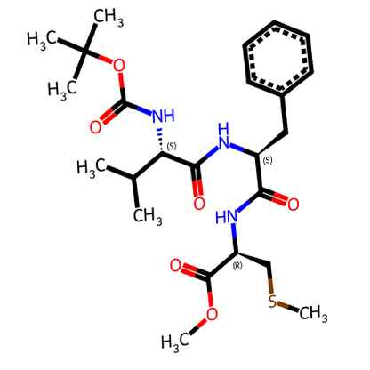 COC(=O)[C@H](CSC)NC(=O)[C@H](Cc1ccccc1)NC(=O)[C@@H](NC(=O)OC(C)(C)C)C(C)C